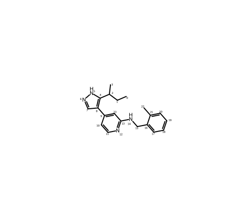 CCC(C)c1[nH]ncc1-c1ccnc(NCc2ccccc2C)c1